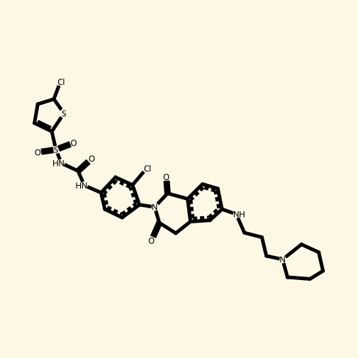 O=C(Nc1ccc(N2C(=O)Cc3cc(NCCCN4CCCCC4)ccc3C2=O)c(Cl)c1)NS(=O)(=O)C1=CCC(Cl)S1